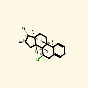 CC[C@H]1[C@H](C)C[C@H]2[C@@H]3[C@H](Cl)CC4=CCC=C[C@]4(C)[C@H]3CC[C@@]21C